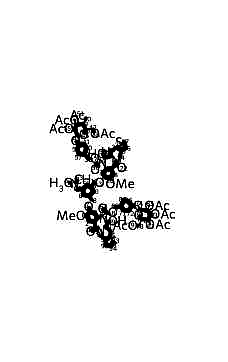 COc1cc2c(cc1OCc1cc(COc3cc4c(cc3OC)C(=O)N3Cc5ccsc5C[C@H]3C(O)N4C(=O)OCc3ccc(O[C@@H]4O[C@H](COC(C)=O)[C@H](CC(C)=O)[C@H](OC(C)=O)[C@@H]4OC(C)=O)cc3)cc(CN(C)C)c1)N(C(=O)OCc1ccc(O[C@@H]3O[C@H](COC(C)=O)[C@H](OC(C)=O)[C@H](OC(C)=O)[C@@H]3OC(C)=O)cc1)C(O)C1Cc3sccc3CN1C2=O